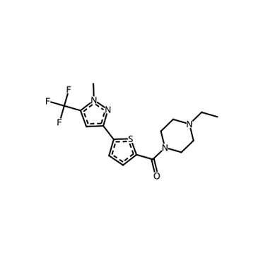 CCN1CCN(C(=O)c2ccc(-c3cc(C(F)(F)F)n(C)n3)s2)CC1